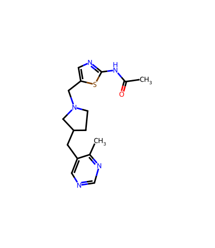 CC(=O)Nc1ncc(CN2CCC(Cc3cncnc3C)C2)s1